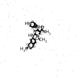 COc1cc2c(cc1Nc1ncc(C(N)=O)c(NC3C4CCC3CNC4)n1)CN(C)CC2